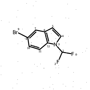 FC(F)n1ccc2cc(Br)ccc21